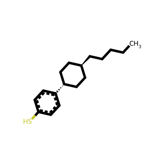 CCCCC[C@H]1CC[C@H](c2ccc(S)cc2)CC1